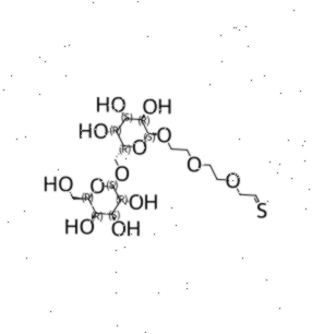 OC[C@H]1O[C@H](OC[C@H]2O[C@H](OCCOCCOCC=S)[C@H](O)[C@@H](O)[C@H]2O)[C@H](O)[C@@H](O)[C@H]1O